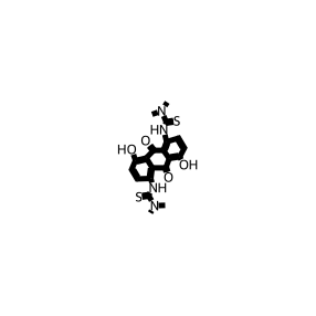 CN(C)C(=S)Nc1ccc(O)c2c1C(=O)c1c(O)ccc(NC(=S)N(C)C)c1C2=O